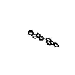 [C-]#[N+]c1ccccc1-c1ccc2cc(-c3ccc4c5c(cccc35)-c3ccccc3-4)ccc2c1